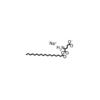 CCCCCCCCCCCCCCCCCC(=O)OC(=O)C(N)CCC(=O)[O-].[Na+]